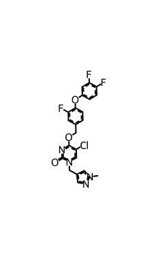 Cn1cc(Cn2cc(Cl)c(OCc3ccc(Oc4ccc(F)c(F)c4)c(F)c3)nc2=O)cn1